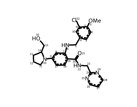 COc1ccc(CNc2cc(N3CCCC3CO)ccc2C(=O)NCc2ncccn2)cc1Cl